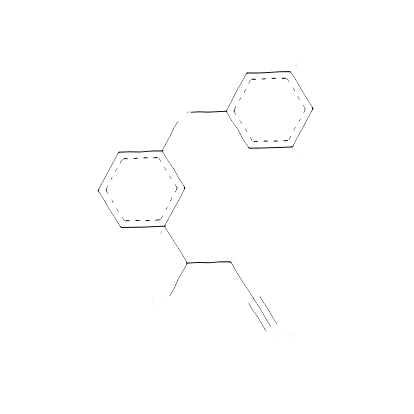 C#CCC(c1cccc(Oc2ccccc2)c1)C(C)C